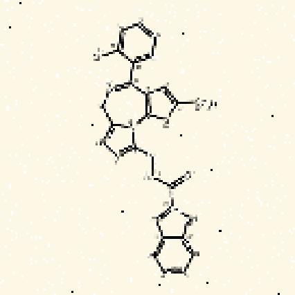 O=C(NCc1nnc2n1-c1sc(C(=O)O)cc1C(c1ccccc1Cl)=NC2)c1cc2ccccc2[nH]1